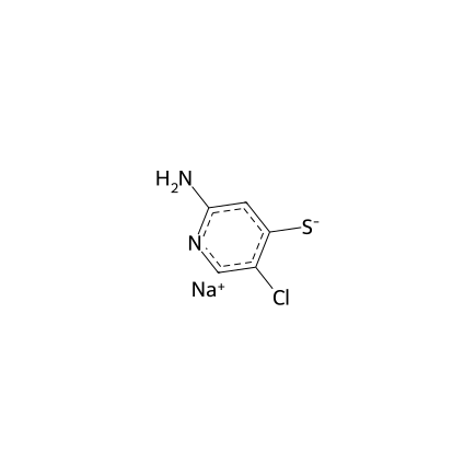 Nc1cc([S-])c(Cl)cn1.[Na+]